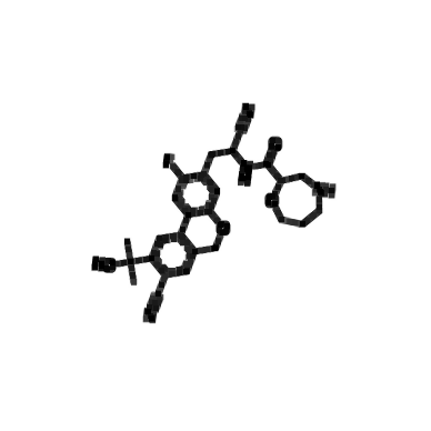 CC(C)(O)c1cc2c(cc1C#N)COc1cc(CC(C#N)NC(=O)C3CNCCCO3)c(F)cc1-2